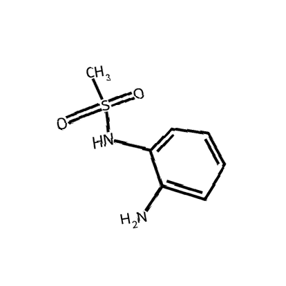 CS(=O)(=O)Nc1ccccc1N